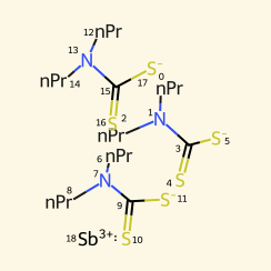 CCCN(CCC)C(=S)[S-].CCCN(CCC)C(=S)[S-].CCCN(CCC)C(=S)[S-].[Sb+3]